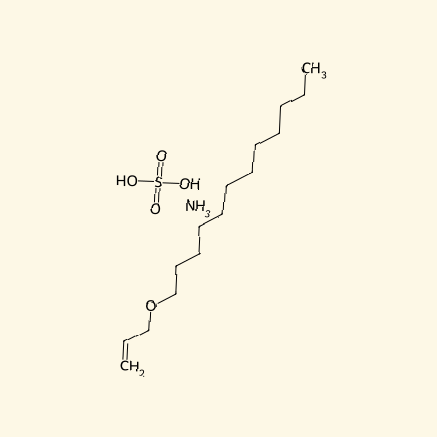 C=CCOCCCCCCCCCCCC.N.O=S(=O)(O)O